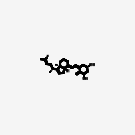 C=C1/C(=C\C=C2/CCC[C@]3(C)C([C@H](C)C/C=C(/C)F)=CC[C@@H]23)C[C@H](O)C[C@H]1O